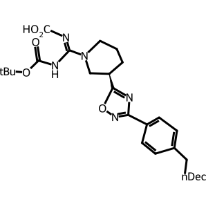 CCCCCCCCCCCc1ccc(-c2noc([C@@H]3CCCN(/C(=N/C(=O)O)NC(=O)OC(C)(C)C)C3)n2)cc1